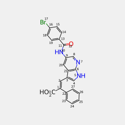 O=C(O)C(=Cc1c[nH]c2ncc(NC(=O)c3ccc(Br)cc3)cc12)c1ccccc1